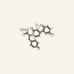 COC(=O)C(Cc1ccc(F)cc1)n1ccc(-c2cc(Cl)ccc2[N+](=O)[O-])cc1=O